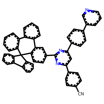 N#Cc1ccc(-c2cc(-c3ccc(-c4cccnc4)cc3)nc(-c3ccc4c(c3)-c3ccccc3-c3ccccc3C43c4ccccc4-c4ccccc43)n2)cc1